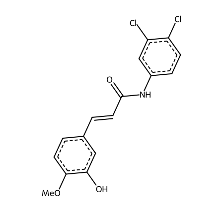 COc1ccc(C=CC(=O)Nc2ccc(Cl)c(Cl)c2)cc1O